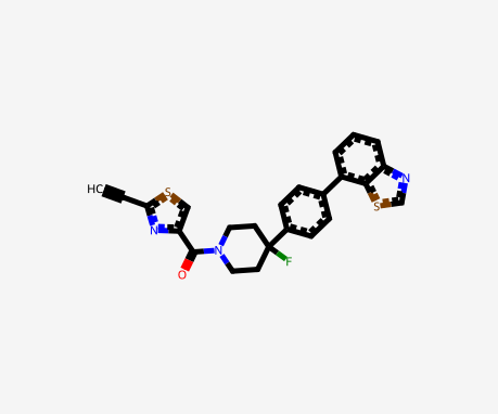 C#Cc1nc(C(=O)N2CCC(F)(c3ccc(-c4cccc5ncsc45)cc3)CC2)cs1